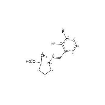 CC1(C(=O)O)CCCN1N=Cc1cccc(F)c1F